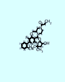 C=CC(=O)N1CCN2C(=O)c3c(N4CC(O)CC4(C)C)nc(-c4ccccc4C#N)c(F)c3OCC2C1